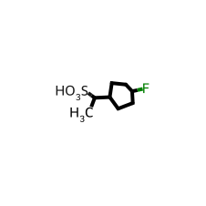 CC(C1CCC(F)CC1)S(=O)(=O)O